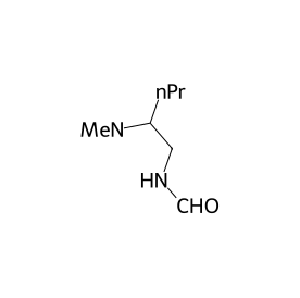 CCCC(CNC=O)NC